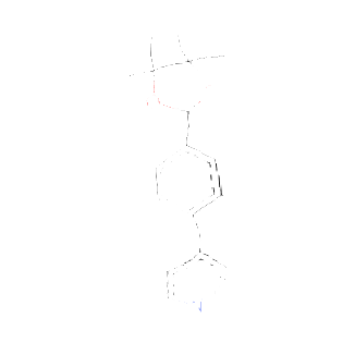 CC1(C)OC(c2ccc(-c3ccncc3)cc2)OC1(C)C